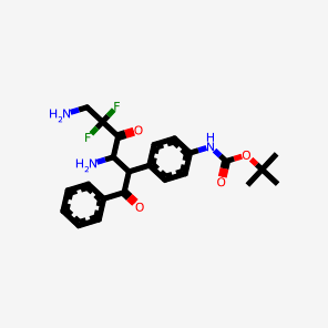 CC(C)(C)OC(=O)Nc1ccc(C(C(=O)c2ccccc2)C(N)C(=O)C(F)(F)CN)cc1